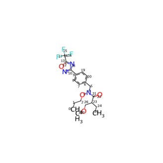 CCCON(Cc1ccc(-c2noc(C(F)(F)F)n2)cc1)C(=O)C(CC)COC